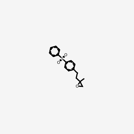 CC1(CCc2ccc(S(=O)(=O)c3ccccc3)cc2)CO1